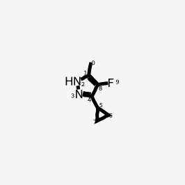 Cc1[nH]nc(C2CC2)c1F